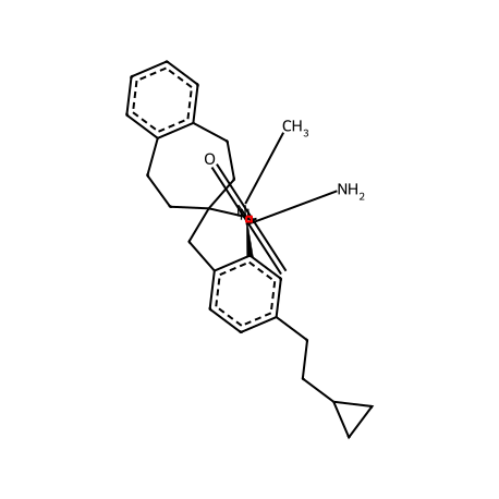 CN1C(=O)[C@]2(N=C1N)c1cc(CCC3CC3)ccc1CC21CCc2ccccc2CC1